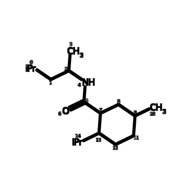 CC(C)CC(C)NC(=O)C1CC(C)CCC1C(C)C